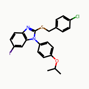 CC(C)Oc1ccc(-n2c(SCc3ccc(Cl)cc3)nc3ccc(I)cc32)cc1